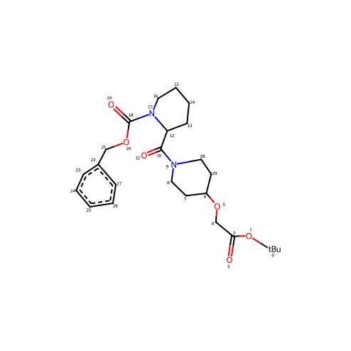 CC(C)(C)OC(=O)COC1CCN(C(=O)C2CCCCN2C(=O)OCc2ccccc2)CC1